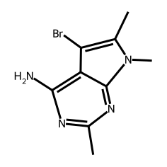 Cc1nc(N)c2c(Br)c(C)n(C)c2n1